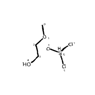 COCCO.Cl[SiH](Cl)Cl